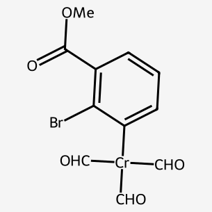 COC(=O)c1ccc[c]([Cr]([CH]=O)([CH]=O)[CH]=O)c1Br